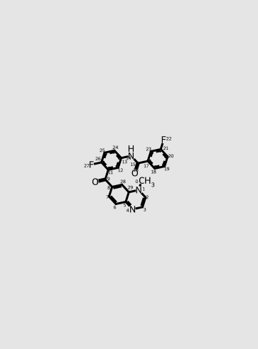 CN1C=CN=C2C=CC(C(=O)c3cc(NC(=O)c4cccc(F)c4)ccc3F)=CC21